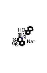 O=C1C=C(S(=O)(=O)[O-])c2ccccc2/C1=N/Nc1ccc2ccccc2c1O.[Na+]